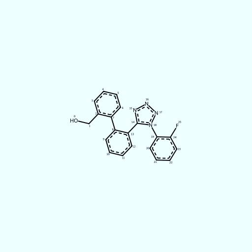 OCc1ccccc1-c1ccccc1-c1nnnn1-c1ccccc1F